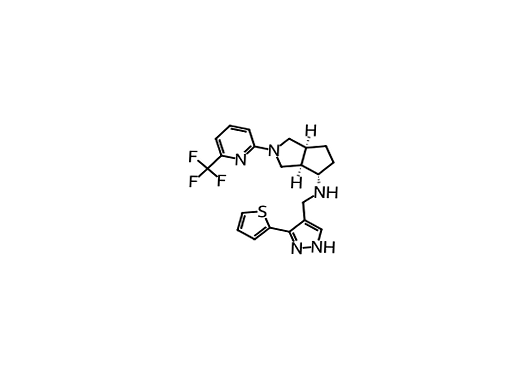 FC(F)(F)c1cccc(N2C[C@H]3CC[C@H](NCc4c[nH]nc4-c4cccs4)[C@H]3C2)n1